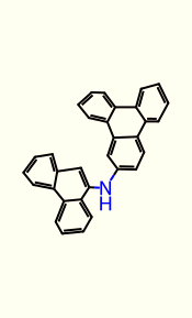 c1ccc2c(c1)cc(Nc1ccc3c4ccccc4c4ccccc4c3c1)c1ccccc12